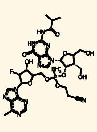 [BH3-][P+](OCCC#N)(OC[C@H]1OC(n2cnc3c(C)ncnc32)[C@@H](F)[C@H]1O)O[C@@H]1[C@H](n2cnc3c(=O)[nH]c(NC(=O)C(C)C)nc32)OC(CO)[C@@H]1CO